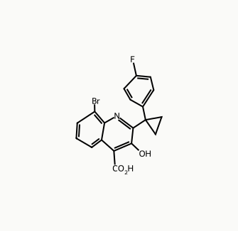 O=C(O)c1c(O)c(C2(c3ccc(F)cc3)CC2)nc2c(Br)cccc12